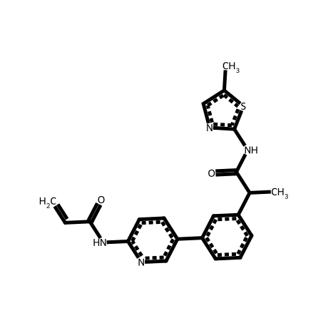 C=CC(=O)Nc1ccc(-c2cccc(C(C)C(=O)Nc3ncc(C)s3)c2)cn1